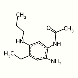 CCCNc1cc(NC(C)=O)c(N)cc1CC